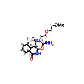 COCCOCCN(C(N)=O)C(C)c1c[nH]c(=O)c2ccccc12